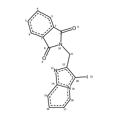 O=C1c2ccccc2C(=O)N1Cc1nc2ccccn2c1I